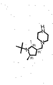 C[C@@H]1C[C@H](CN2CCNCC2)[C@@H](C)N1C(C)(C)C